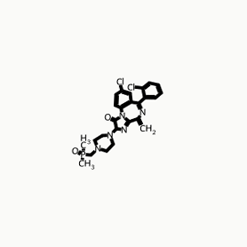 C=C1N=C(c2ccccc2Cl)c2cc(Cl)ccc2N2C(=O)C(N3CCN(CP(C)(C)=O)CC3)N=C12